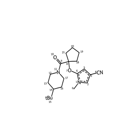 Cn1cc(C#N)cc1OC1(C(=O)N2CCC(C(C)(C)C)CC2)CCCC1